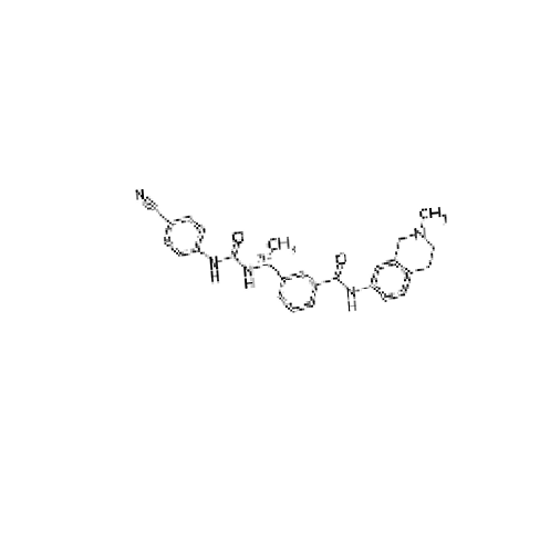 C[C@@H](NC(=O)Nc1ccc(C#N)cc1)c1cccc(C(=O)Nc2ccc3c(c2)CN(C)CC3)c1